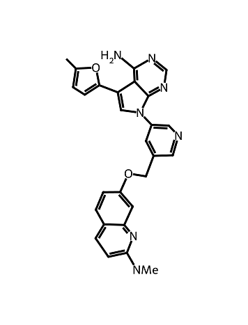 CNc1ccc2ccc(OCc3cncc(-n4cc(-c5ccc(C)o5)c5c(N)ncnc54)c3)cc2n1